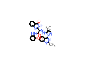 N#Cc1cnn(-c2nc(C(F)(F)F)nc3ccccc23)c1N=NC(C(=O)Nc1ccccc1O)c1nc2ccccc2c(=O)[nH]1